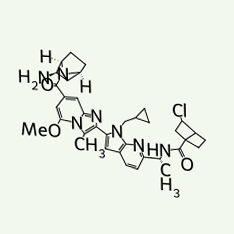 COc1cc(C(=O)N2[C@H]3CC[C@@H]2[C@H](N)C3)cc2nc(-c3cc4ccc([C@@H](C)NC(=O)C56CCC5C(Cl)C6)nc4n3CC3CC3)c(C)n12